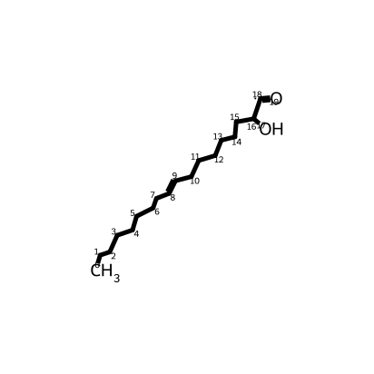 CCCCCCCCC=CCCCCCCC(O)[C]=O